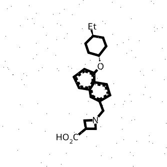 CC[C@H]1CC[C@H](Oc2cccc3cc(CN4CC(C(=O)O)C4)ccc23)CC1